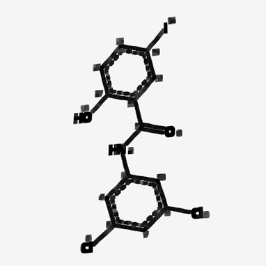 O=C(Nc1cc(Cl)cc(Cl)c1)c1cc(I)ccc1O